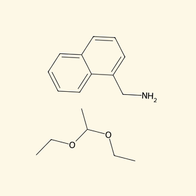 CCOC(C)OCC.NCc1cccc2ccccc12